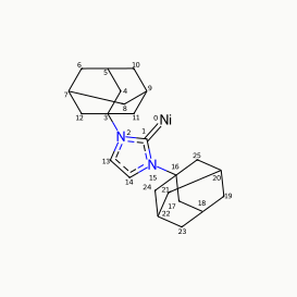 [Ni]=[c]1n(C23CC4CC(CC(C4)C2)C3)ccn1C12CC3CC(CC(C3)C1)C2